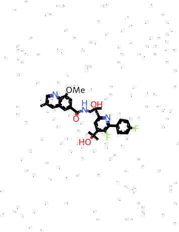 COc1cc(C(=O)NCC(C)(O)c2cc(C(C)(C)O)c(F)c(-c3ccc(F)cc3)n2)cc2cc(C)cnc12